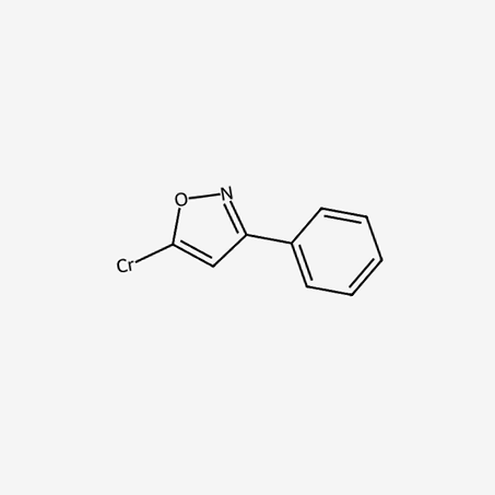 [Cr][c]1cc(-c2ccccc2)no1